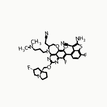 CN(C)CCCN1c2nc(OC[C@@]34CCCN3C[C@H](F)C4)nc3c(F)c(-c4ccc(F)c5sc(N)c(C#N)c45)c(Cl)c(c23)OCC1CC#N